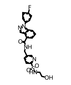 O=C(NCc1ccc(S(=O)(=O)NCCO)nc1)c1cccc2c1cnn2-c1ccc(F)cc1